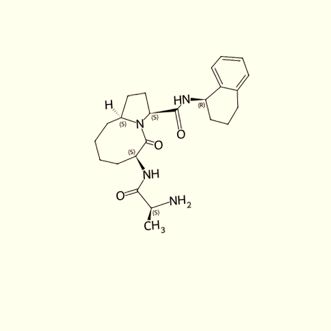 C[C@H](N)C(=O)N[C@H]1CCCC[C@H]2CC[C@@H](C(=O)N[C@@H]3CCCc4ccccc43)N2C1=O